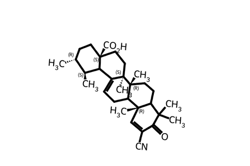 C[C@@H]1CC[C@]2(C(=O)O)CC[C@]3(C)C(=CCC4[C@@]5(C)C=C(C#N)C(=O)C(C)(C)C5CC[C@]43C)C2[C@H]1C